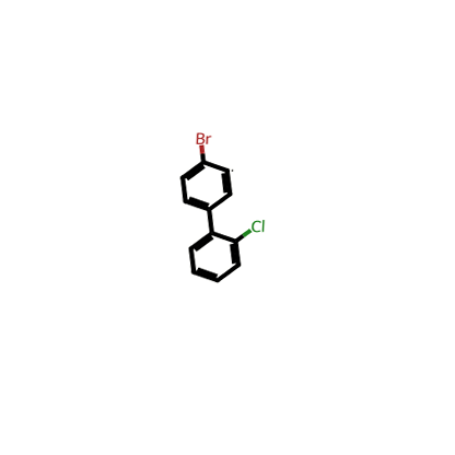 Clc1ccccc1-c1c[c]c(Br)cc1